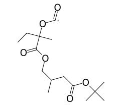 CCC(C)(O[C]=O)C(=O)OCC(C)CC(=O)OC(C)(C)C